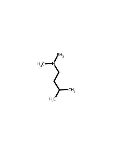 BN(C)CCC(C)C